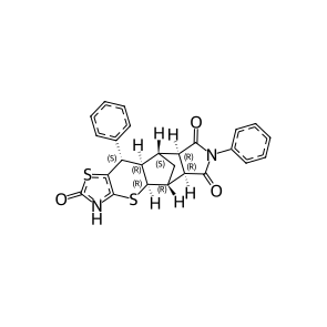 O=C1[C@@H]2[C@@H]3C[C@@H]([C@H]4Sc5[nH]c(=O)sc5[C@H](c5ccccc5)[C@@H]34)[C@@H]2C(=O)N1c1ccccc1